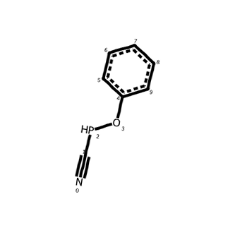 N#CPOc1ccccc1